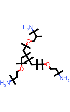 CC(COC(C)(C)CC(C)(CC(C)(C)OCCC(C)(C)N)C(C)(C)CC(C)(C)C(C)(C)OCCC(C)(C)N)C(C)(C)N